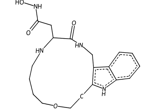 O=C(CC1NCCCCOCCc2[nH]c3ccccc3c2CNC1=O)NO